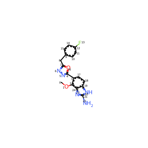 COc1c(-c2nnc(Cc3ccc(F)cc3)o2)ccc2[nH]c(N)nc12